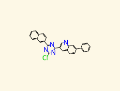 Clc1nc(-c2ccc3ccccc3c2)nc(-c2cnc3cc(-c4ccccc4)ccc3c2)n1